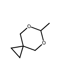 CC1OCC2(CC2)CO1